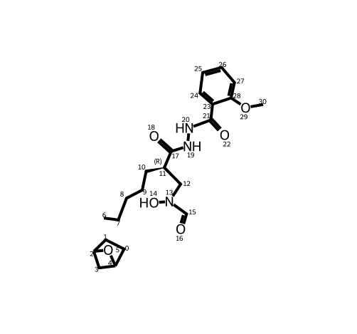 C1CC2CC1O2.CCCCC[C@H](CN(O)C=O)C(=O)NNC(=O)c1ccccc1OC